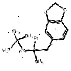 BC(B)(B)NC(B)(CC)Cc1ccc2c(c1)OCO2